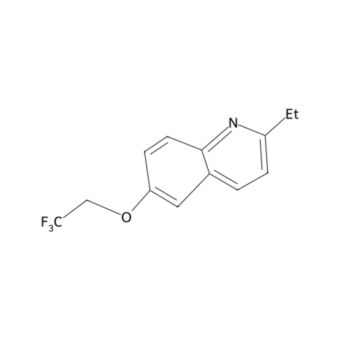 CCc1ccc2cc(OCC(F)(F)F)ccc2n1